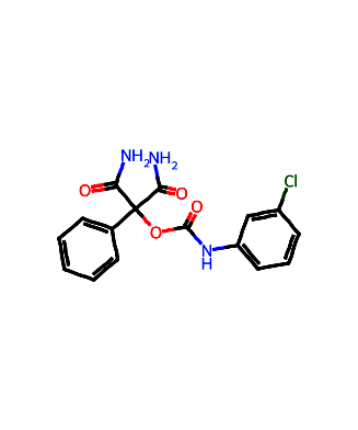 NC(=O)C(OC(=O)Nc1cccc(Cl)c1)(C(N)=O)c1ccccc1